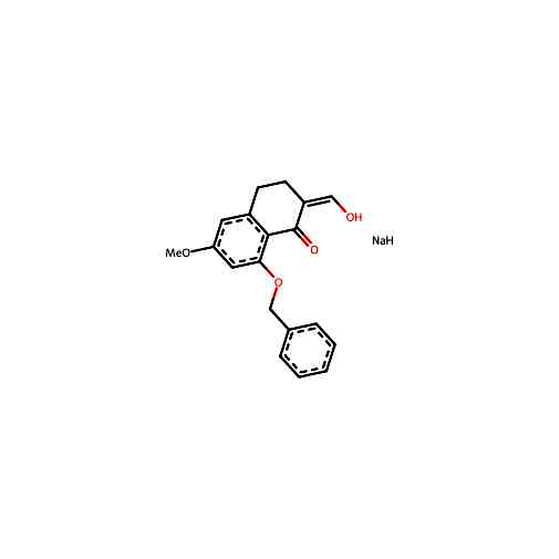 COc1cc2c(c(OCc3ccccc3)c1)C(=O)/C(=C\O)CC2.[NaH]